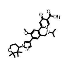 COc1cc2c(cc1-c1cnn(C3CCOC(C)(C)C3(C)C)c1)CN(C(C)C)n1cc(C(=O)O)c(=O)cc1-2